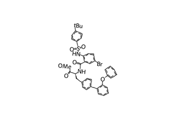 COC(=O)[C@H](Cc1ccc(-c2ccccc2Oc2ccccc2)cc1)NC(=O)c1cc(Br)ccc1NS(=O)(=O)c1ccc(C(C)(C)C)cc1